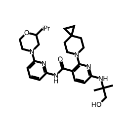 CC(C)C1CN(c2cccc(NC(=O)c3ccc(NC(C)(C)CO)nc3N3CCC4(CC3)CC4)n2)CCO1